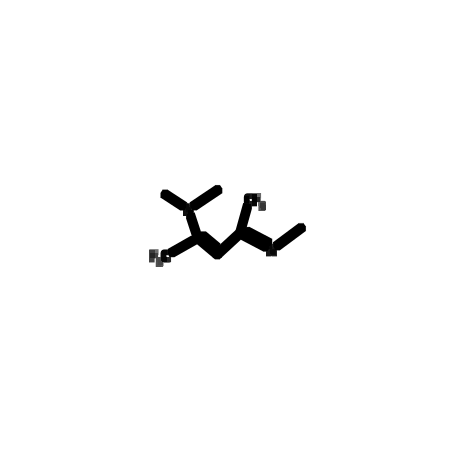 C/N=C(/C=C(\N(C)C)C(F)(F)F)C(F)(F)F